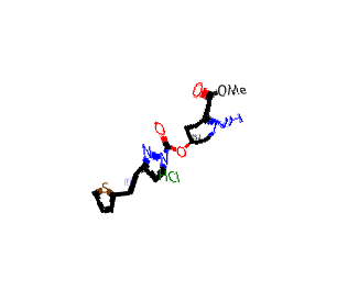 COC(=O)C1C[C@H](OC(=O)n2ccc(/C=C/c3cccs3)n2)CN1.Cl